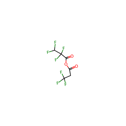 O=C(CC(F)(F)F)OC(=O)C(F)(F)C(F)F